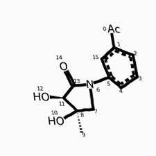 CC(=O)c1cccc(N2C[C@@](C)(O)[C@@H](O)C2=O)c1